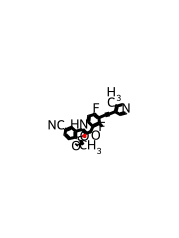 Cc1cnccc1C#Cc1c(F)cc2[nH]c(-c3cc(C#N)ccc3S(C)(=O)=O)cc(=O)c2c1F